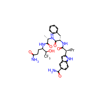 CC(C)[C@H](C(=O)N[C@@H](Cc1ccccc1)C(=O)N[C@@H](C)C(=O)NC(CCC(N)=O)C(O)C(F)(F)F)c1cc2cc(C(N)=O)ccc2[nH]1